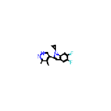 Cc1nncc(-c2cc3cc(F)c(F)cc3n2C2CC2)c1C